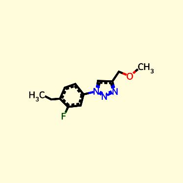 CCc1ccc(-n2cc(COC)nn2)cc1F